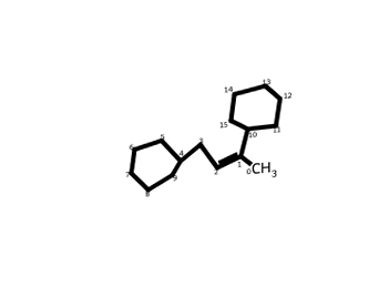 CC(=CCC1CCCCC1)C1CCCCC1